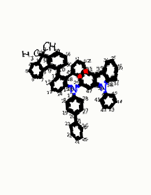 CC1(C)c2ccccc2-c2c(-c3cccc(N(c4ccc(-c5ccccc5)cc4)c4ccc5c6ccccc6n(-c6ccccc6)c5c4)c3-c3ccccc3)cccc21